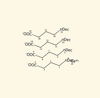 CCCCCCCCCCCCCC(=O)[O-].CCCCCCCCCCCCCC(=O)[O-].CCCCCCCCCCCCCC(=O)[O-].CCCCCCCCCCCCCC(=O)[O-].[Ce+4]